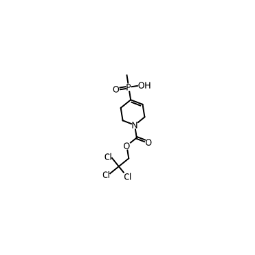 CP(=O)(O)C1=CCN(C(=O)OCC(Cl)(Cl)Cl)CC1